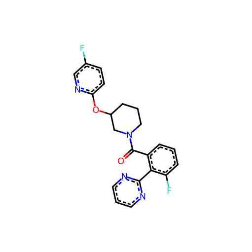 O=C(c1cccc(F)c1-c1ncccn1)N1CCCC(Oc2ccc(F)cn2)C1